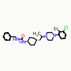 CCc1c(Cl)cccc1N1CCN(C(C)C[C@H]2CC[C@H](NC(=O)NCc3ccccc3)CC2)CC1